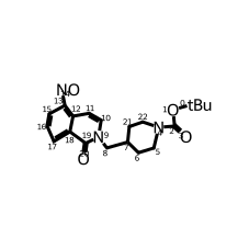 CC(C)(C)OC(=O)N1CCC(Cn2ccc3c(N=O)cccc3c2=O)CC1